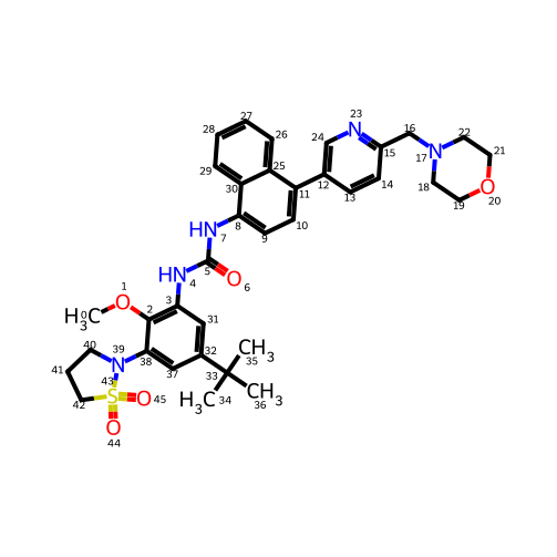 COc1c(NC(=O)Nc2ccc(-c3ccc(CN4CCOCC4)nc3)c3ccccc23)cc(C(C)(C)C)cc1N1CCCS1(=O)=O